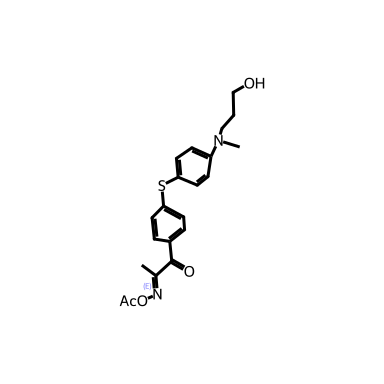 CC(=O)O/N=C(\C)C(=O)c1ccc(Sc2ccc(N(C)CCCO)cc2)cc1